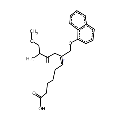 COCC(C)NC/C(=C\CCCCC(=O)O)COc1cccc2ccccc12